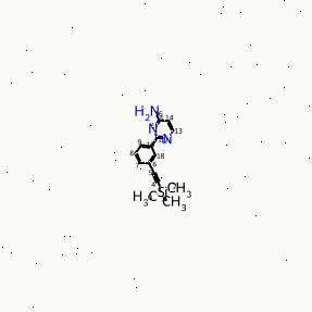 C[Si](C)(C)C#Cc1cccc(-c2nccc(N)n2)c1